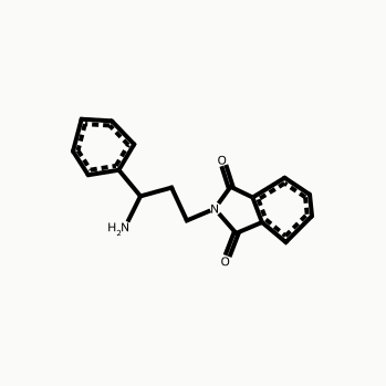 NC(CCN1C(=O)c2ccccc2C1=O)c1ccccc1